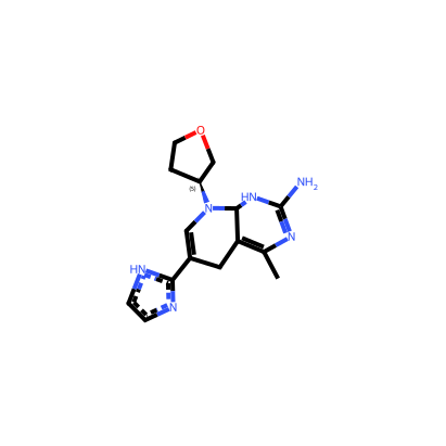 CC1=C2CC(c3ncc[nH]3)=CN([C@H]3CCOC3)C2NC(N)=N1